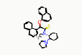 CN(C(=S)C(Oc1cccc2ccccc12)c1cccc2ccccc12)[C@@H]1CCCC[C@H]1N1CCCC1